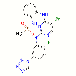 CS(=O)(=O)Nc1ccccc1Nc1nc(Nc2cc(-n3cnnn3)ccc2F)ncc1Br